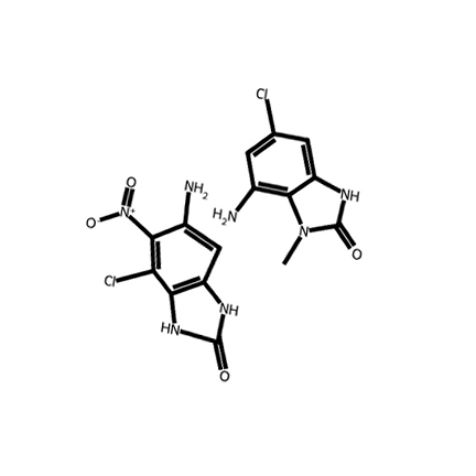 Cn1c(=O)[nH]c2cc(Cl)cc(N)c21.Nc1cc2[nH]c(=O)[nH]c2c(Cl)c1[N+](=O)[O-]